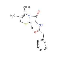 CC1=C(C(=O)O)N2C(=O)C(NC(=O)Cc3ccccc3)[C@H]2SC1